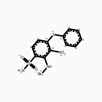 CCC(C)Nc1c(S(N)(=O)=O)ccc(Sc2ccccc2)c1[N+](=O)[O-]